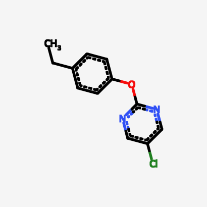 CCc1ccc(Oc2ncc(Cl)cn2)cc1